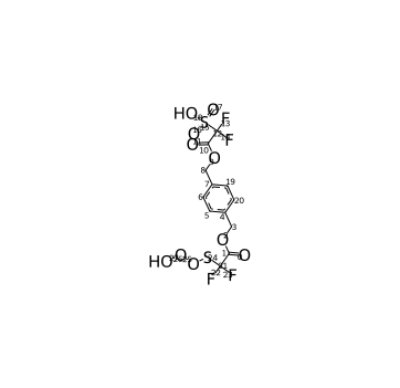 O=C(OCc1ccc(COC(=O)C(F)(F)S(=O)(=O)O)cc1)C(F)(F)SOOO